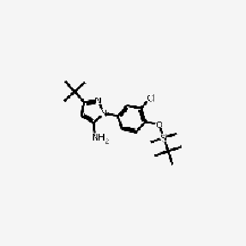 CC(C)(C)c1cc(N)n(-c2ccc(O[Si](C)(C)C(C)(C)C)c(Cl)c2)n1